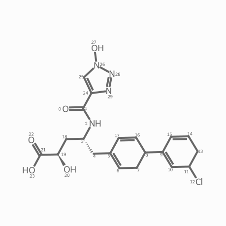 O=C(N[C@H](CC1=CCC(C2=CC(Cl)CC=C2)C=C1)C[C@@H](O)C(=O)O)c1cn(O)nn1